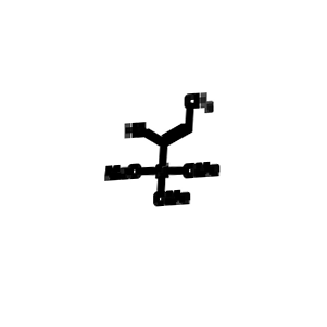 CC=C(S)[Si](OC)(OC)OC